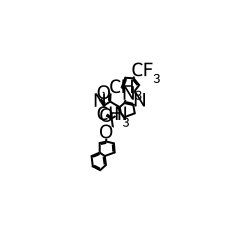 Cc1noc(C)c1C1c2c(nc3cc(C(F)(F)F)ccn23)CCN1C(=O)COc1ccc2ccccc2c1